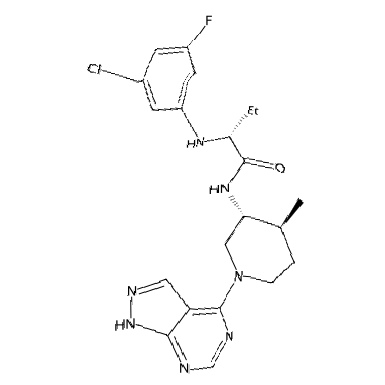 CC[C@@H](Nc1cc(F)cc(Cl)c1)C(=O)N[C@H]1CN(c2ncnc3[nH]ncc23)CC[C@@H]1C